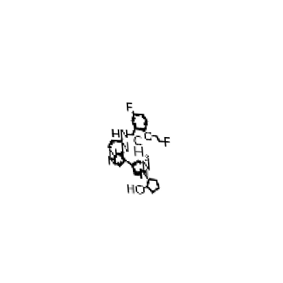 CC(Nc1ccn2ncc(-c3cnn(C4CCCC4O)c3)c2n1)c1cc(F)ccc1OCCF